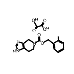 Cc1ccccc1COC(=O)N1CCc2[nH]cnc2C1.O=C(O)C(=O)O